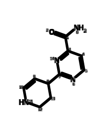 NC(=O)c1ccnc(C2C=CNCC2)n1